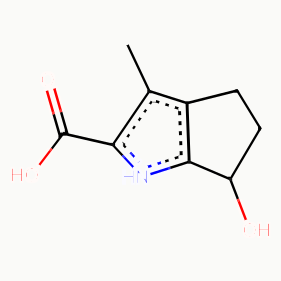 Cc1c(C(=O)O)[nH]c2c1CCC2O